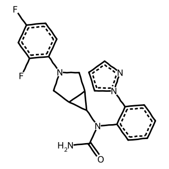 NC(=O)N(c1ccccc1-n1cccn1)C1C2CN(c3ccc(F)cc3F)CC21